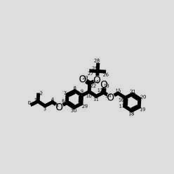 CC(C)CCOc1ccc(C(CC(=O)OCc2ccccc2)C(=O)OC(C)(C)C)cc1